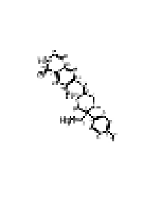 NCC1(c2ccc(F)cc2)CCC(Oc2cc3cc[nH]c(=O)c3cc2Cl)CC1